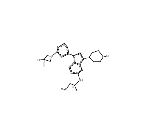 COC[C@H](C)Nc1ncc2c(-c3ccnc(N4CC(C)(O)C4)c3)cc([C@H]3CC[C@H](O)CC3)n2n1